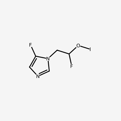 Fc1cncn1CC(F)OI